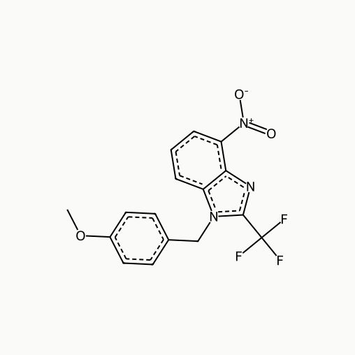 COc1ccc(Cn2c(C(F)(F)F)nc3c([N+](=O)[O-])cccc32)cc1